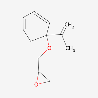 C=C(C)C1(OCC2CO2)C=CC=CC1